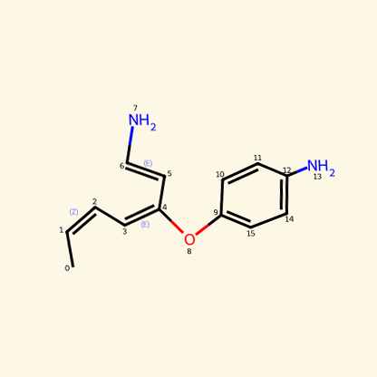 C\C=C/C=C(\C=C\N)Oc1ccc(N)cc1